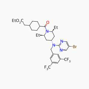 CCOC(=O)CC1CCC(C(=O)N2[C@H](CC)C[C@@H](N(Cc3cc(C(F)(F)F)cc(C(F)(F)F)c3)c3ncc(Br)cn3)C[C@@H]2CC)CC1